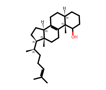 CC(C)=CCC[C@@H](C)[C@H]1CC[C@H]2C3=C(CC[C@]12C)[C@@]1(C)C(O)CCC[C@@H]1CC3